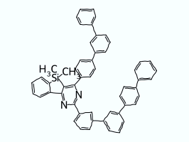 C[Si]1(C)c2ccccc2-c2nc(-c3cccc(-c4cccc(-c5ccc(-c6ccccc6)cc5)c4)c3)nc(-c3ccc(-c4cccc(-c5ccccc5)c4)cc3)c21